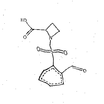 O=Cc1ccccc1S(=O)(=O)N1CCC1C(=O)O